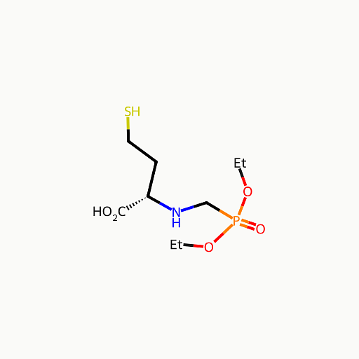 CCOP(=O)(CN[C@@H](CCS)C(=O)O)OCC